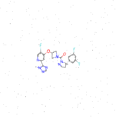 Cn1ncnc1-c1cc(OC2CN(C(=O)N3N=CC[C@H]3c3cc(F)cc(F)c3)C2)c(F)cn1